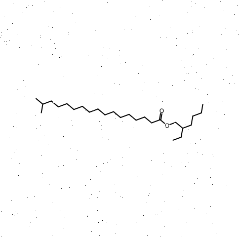 CCCCC(CC)COC(=O)CCCCCCCCCCCCCCC(C)C